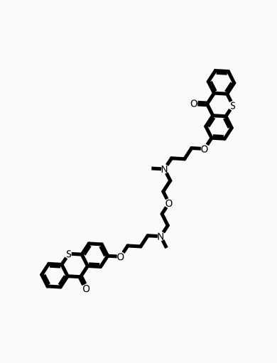 CN(CCCOc1ccc2sc3ccccc3c(=O)c2c1)CCOCCN(C)CCCOc1ccc2sc3ccccc3c(=O)c2c1